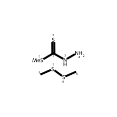 CSC(=S)NN.CSSC